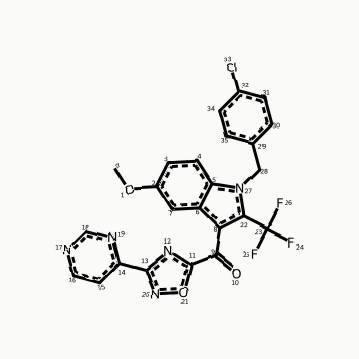 COc1ccc2c(c1)c(C(=O)c1nc(-c3ccncn3)no1)c(C(F)(F)F)n2Cc1ccc(Cl)cc1